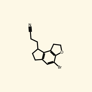 N#CCCC1CCc2cc(Br)c3c(c21)CCO3